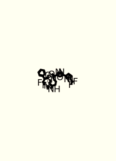 O=C(c1nnc(-c2ccn(C(F)F)n2)o1)N1CCc2[nH]cnc2[C@H]1c1oc2ccccc2c1C(F)F